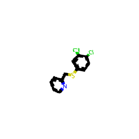 Clc1ccc(SCc2ccccn2)cc1Cl